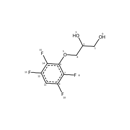 OCC(O)COc1c(F)c(F)[c]c(F)c1F